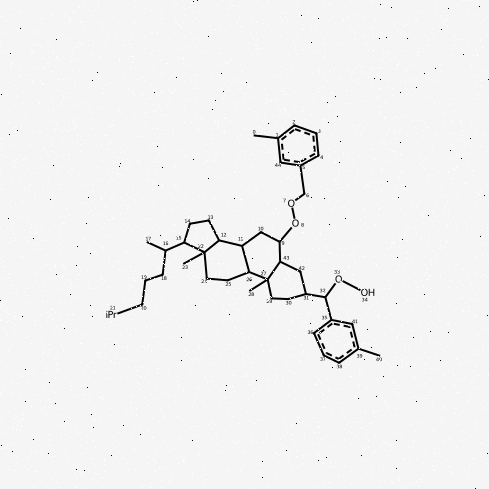 Cc1cccc(COOC2CC3C4CCC(C(C)CCCC(C)C)C4(C)CCC3C3(C)CCC(C(OO)c4cccc(C)c4)CC23)c1